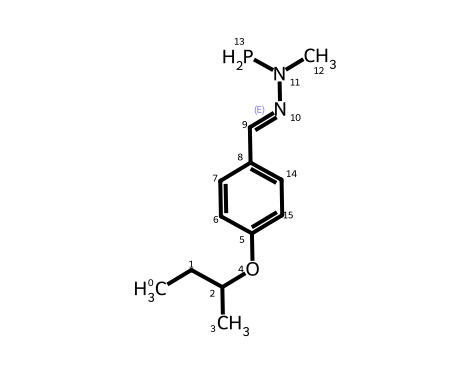 CCC(C)Oc1ccc(/C=N/N(C)P)cc1